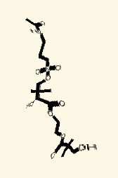 CC(=O)NCCCS(=O)(=O)OCC(C)(C)[C@@H](O)C(=O)OCCOC(=O)C(C)(C)CO